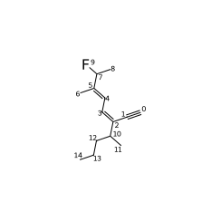 C#C/C(=C\C=C(/C)C(C)F)C(C)CCC